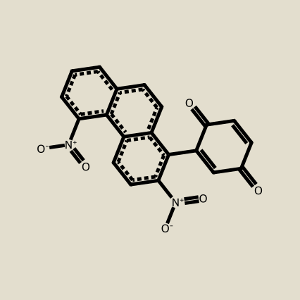 O=C1C=CC(=O)C(c2c([N+](=O)[O-])ccc3c2ccc2cccc([N+](=O)[O-])c23)=C1